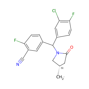 [CH2][C@H]1CC(=O)N(C(c2ccc(F)c(Cl)c2)c2ccc(F)c(C#N)c2)C1